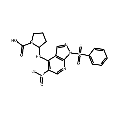 O=C(O)N1CCCC1Nc1c([N+](=O)[O-])cnc2c1cnn2S(=O)(=O)c1ccccc1